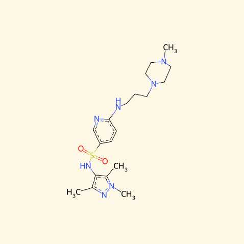 Cc1nn(C)c(C)c1NS(=O)(=O)c1ccc(NCCCN2CCN(C)CC2)nc1